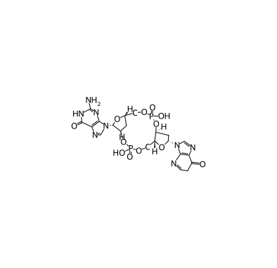 Nc1nc2c(ncn2[C@@H]2O[C@@H]3COP(=O)(O)O[C@H]4C[C@H](n5cnc6c5N=CCC6=O)O[C@@H]4COP(=O)(O)O[C@@H]2C3)c(=O)[nH]1